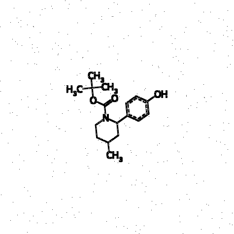 CC1CCN(C(=O)OC(C)(C)C)C(c2ccc(O)cc2)C1